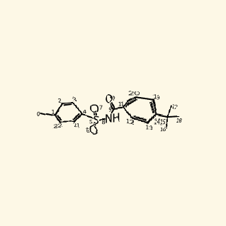 Cc1ccc(S(=O)(=O)NC(=O)c2ccc(C(C)(C)C)cc2)cc1